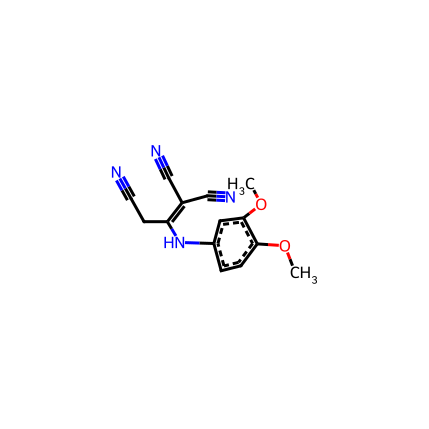 COc1ccc(NC(CC#N)=C(C#N)C#N)cc1OC